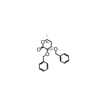 C[C@@H]1C[C@H](OCc2ccccc2)[C@@H](OCc2ccccc2)C(=O)O1